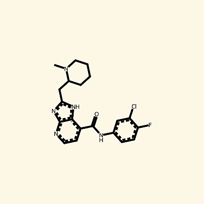 CN1CCCCC1Cc1nc2nccc(C(=O)Nc3ccc(F)c(Cl)c3)c2[nH]1